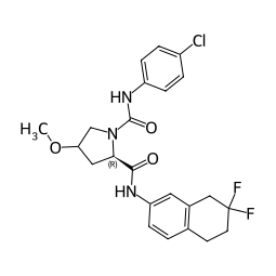 COC1C[C@H](C(=O)Nc2ccc3c(c2)CC(F)(F)CC3)N(C(=O)Nc2ccc(Cl)cc2)C1